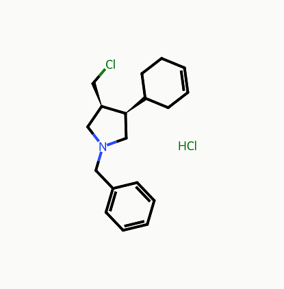 Cl.ClC[C@@H]1CN(Cc2ccccc2)C[C@@H]1C1CC=CCC1